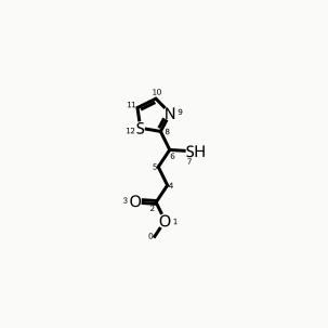 COC(=O)CCC(S)c1nccs1